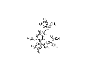 CC(C)C(=O)O.CCCN(CC(CCC[Si](OC)(OC)OC)C(N)=O)[Si](OC)(OC)OC